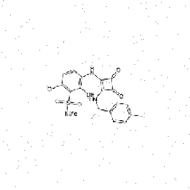 CNS(=O)(=O)c1c(Cl)ccc(Nc2c(N[C@@H](C)c3ccc(C)cc3)c(=O)c2=O)c1O